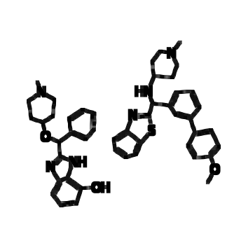 CN1CCC(OC(c2ccccc2)c2nc3cccc(O)c3[nH]2)CC1.COc1ccc(-c2cccc(C(NC3CCN(C)CC3)c3nc4ccccc4s3)c2)cc1